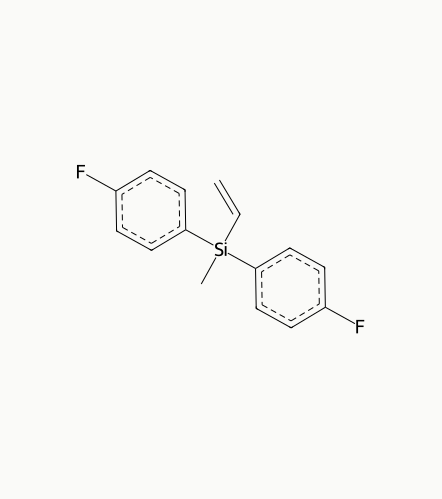 C=C[Si](C)(c1ccc(F)cc1)c1ccc(F)cc1